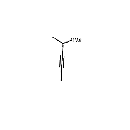 CC#CC(C)OC